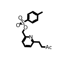 CC(=O)CCc1cccc(COS(=O)(=O)c2ccc(C)cc2)n1